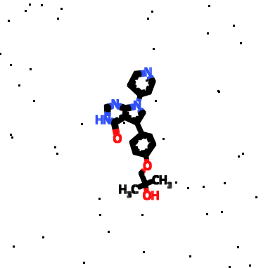 CC(C)(O)COc1ccc(-c2cn(-c3ccncc3)c3nc[nH]c(=O)c23)cc1